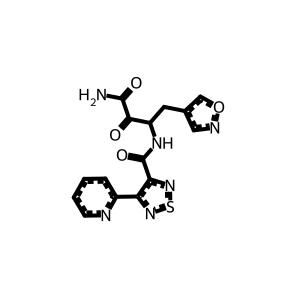 NC(=O)C(=O)C(Cc1cnoc1)NC(=O)c1nsnc1-c1ccccn1